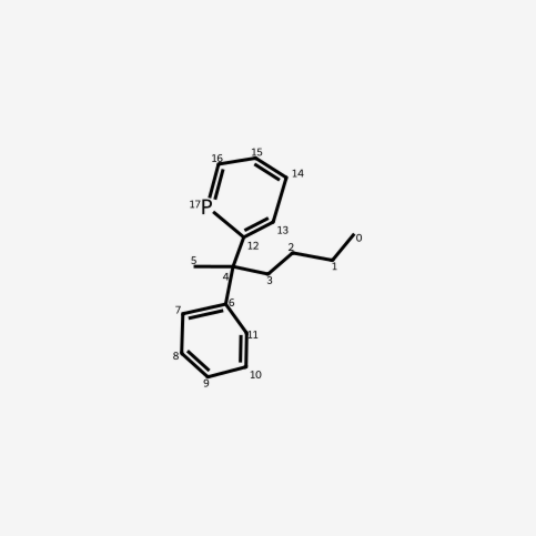 CCCCC(C)(c1ccccc1)c1ccccp1